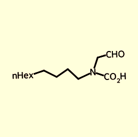 CCCCCCCCCCN(CC=O)C(=O)O